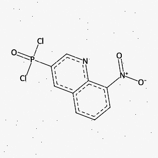 O=[N+]([O-])c1cccc2cc(P(=O)(Cl)Cl)cnc12